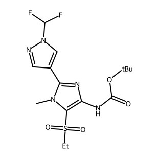 CCS(=O)(=O)c1c(NC(=O)OC(C)(C)C)nc(-c2cnn(C(F)F)c2)n1C